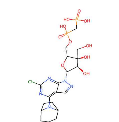 O=P(O)(O)CP(=O)(O)OC[C@H]1O[C@@H](n2ncc3c(N4C5CCCC4CC5)nc(Cl)nc32)[C@H](O)[C@@]1(O)CO